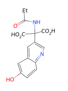 CCC(=O)NC(C(=O)O)(C(=O)O)c1cnc2ccc(O)cc2c1